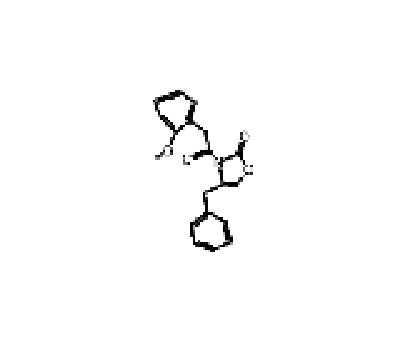 COc1ccccc1CC(=O)N1C(=O)OCC1Cc1ccccc1